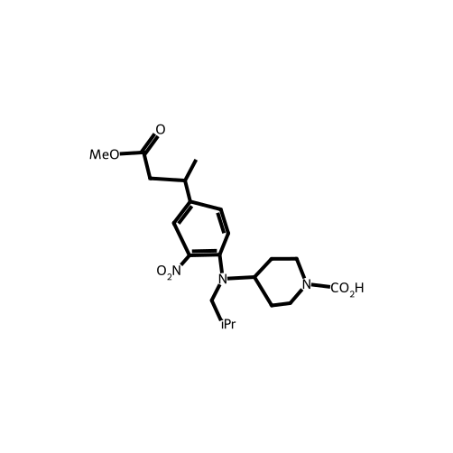 COC(=O)CC(C)c1ccc(N(CC(C)C)C2CCN(C(=O)O)CC2)c([N+](=O)[O-])c1